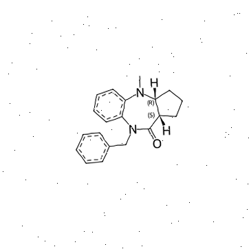 CN1c2ccccc2N(Cc2ccccc2)C(=O)[C@H]2CCC[C@H]21